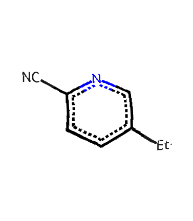 C[CH]c1ccc(C#N)nc1